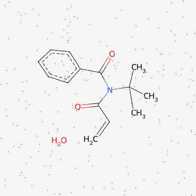 C=CC(=O)N(C(=O)c1ccccc1)C(C)(C)C.O